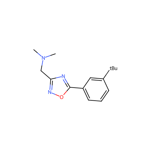 CN(C)Cc1noc(-c2cccc(C(C)(C)C)c2)n1